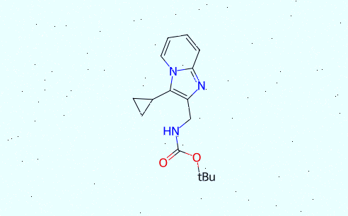 CC(C)(C)OC(=O)NCc1nc2ccccn2c1C1CC1